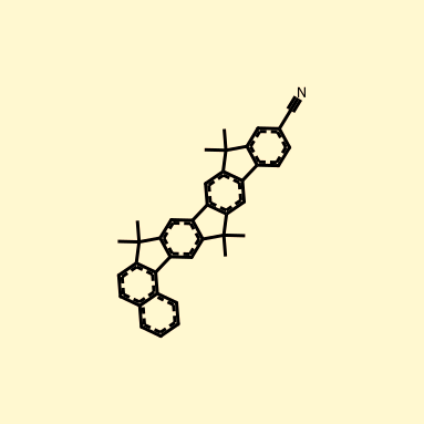 CC1(C)c2cc(C#N)ccc2-c2cc3c(cc21)-c1cc2c(cc1C3(C)C)-c1c(ccc3ccccc13)C2(C)C